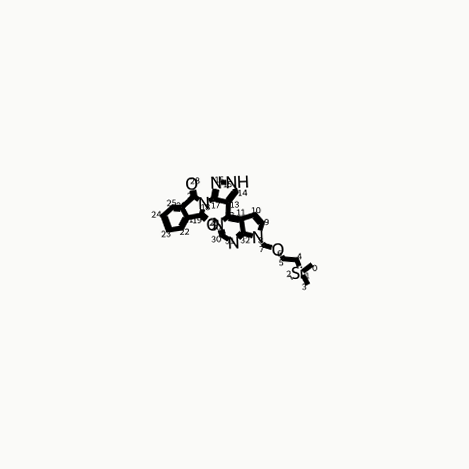 C[Si](C)(C)CCOCn1ccc2c(-c3c[nH]nc3N3C(=O)c4ccccc4C3=O)ncnc21